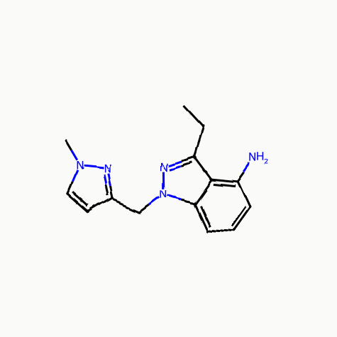 CCc1nn(Cc2ccn(C)n2)c2cccc(N)c12